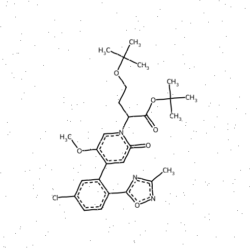 COc1cn(C(CCOC(C)(C)C)C(=O)OC(C)(C)C)c(=O)cc1-c1cc(Cl)ccc1-c1nc(C)no1